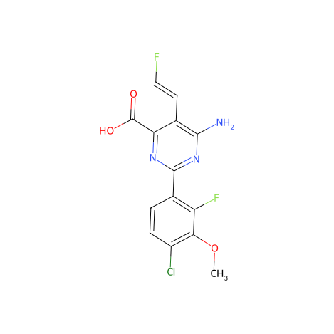 COc1c(Cl)ccc(-c2nc(N)c(C=CF)c(C(=O)O)n2)c1F